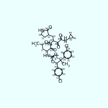 CC(C)CC(NC(=O)OC(c1ccc(Cl)cc1)C(C)(C)c1cccc(Cl)c1)C(=O)NC(CC1CCNC1=O)C(=O)C(=O)NC1CC1